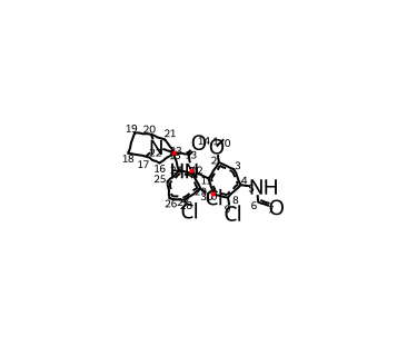 COc1cc(NC=O)c(Cl)cc1NC(=O)C1CC2CCC(C1)N2Cc1ccc(Cl)c(Cl)c1